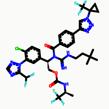 C[C@H](NC(=O)OC[C@H](c1ccc(Cl)c(-n2ncnc2C(F)F)c1)N(C(=N)NCCC(C)(C)C)C(=O)c1ccc(-c2cn(C3(C(F)(F)F)CC3)nn2)cc1)C(F)(F)F